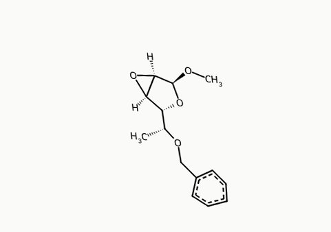 CO[C@H]1O[C@H]([C@@H](C)OCc2ccccc2)[C@H]2O[C@@H]12